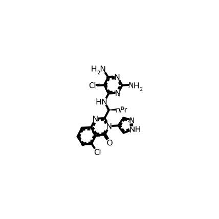 CCC[C@H](Nc1nc(N)nc(N)c1Cl)c1nc2cccc(Cl)c2c(=O)n1-c1cn[nH]c1